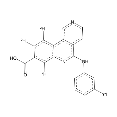 [2H]c1c(C(=O)O)c([2H])c2nc(Nc3cccc(Cl)c3)c3ccncc3c2c1[2H]